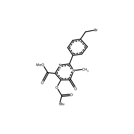 COC(=O)c1nc(-c2ccc(CBr)cc2)n(C)c(=O)c1OC(=O)C(C)(C)C